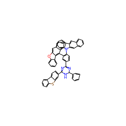 c1ccc(C2N=C(c3ccc(-n4c5ccccc5c5cc6ccccc6cc54)c(-c4c5ccccc5cc5oc6ccccc6c45)c3)N=C(c3ccc4c(c3)sc3ccccc34)N2)cc1